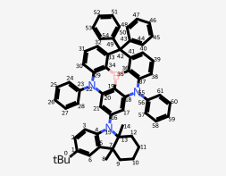 CC(C)(C)c1ccc2c(c1)C1(C)CCCCC1(C)N2c1cc2c3c(c1)N(c1ccccc1)c1cccc4c1B3c1c(cccc1C4(c1ccccc1)c1ccccc1)N2c1ccccc1